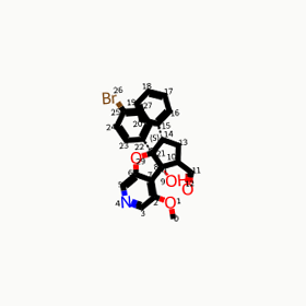 COc1cncc2c1[C@]1(O)C(C=O)C[C@@H](c3ccccc3)[C@]1(c1ccc(Br)cc1)O2